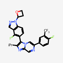 CC(C)c1nc2cnc(-c3ccc(F)c(C(F)(F)F)c3)cn2c1-c1ccc2c(cnn2C2CCO2)c1F